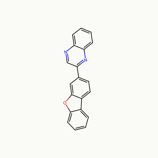 c1ccc2nc(-c3ccc4c(c3)oc3ccccc34)cnc2c1